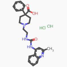 Cc1cc(NC(=O)NCCN2CCC(C(=O)O)(c3ccccc3)CC2)c2ccccc2n1.Cl.Cl